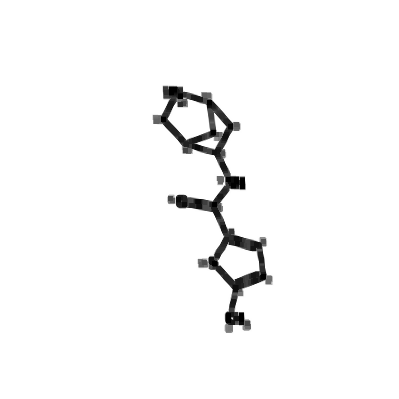 Cc1ccc(C(=O)NC2CC3CC2CN3)s1